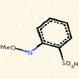 CO[N]c1ccccc1S(=O)(=O)O